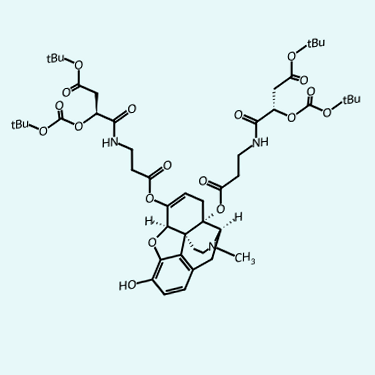 CN1CC[C@]23c4c5ccc(O)c4O[C@H]2C(OC(=O)CCNC(=O)[C@H](CC(=O)OC(C)(C)C)OC(=O)OC(C)(C)C)=CC[C@@]3(OC(=O)CCNC(=O)[C@H](CC(=O)OC(C)(C)C)OC(=O)OC(C)(C)C)[C@H]1C5